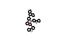 c1ccc(-c2ccc(-c3cc4ccccc4c4ccccc34)cc2N(c2cccc(-c3cccc4oc5ccccc5c34)c2)c2ccc3c(c2)sc2ccccc23)cc1